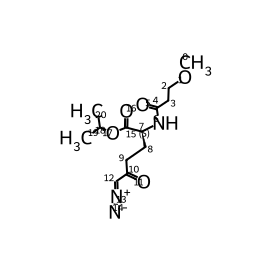 COCCC(=O)N[C@@H](CCC(=O)C=[N+]=[N-])C(=O)OC(C)C